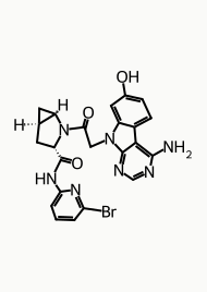 Nc1ncnc2c1c1ccc(O)cc1n2CC(=O)N1[C@@H]2C[C@@H]2C[C@H]1C(=O)Nc1cccc(Br)n1